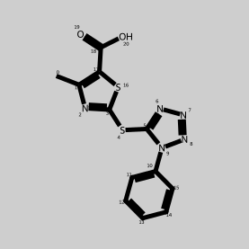 Cc1nc(Sc2nnnn2-c2ccccc2)sc1C(=O)O